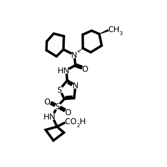 C[C@H]1CC[C@H](N(C(=O)Nc2ncc(S(=O)(=O)NC3(C(=O)O)CCC3)s2)C2CCCCC2)CC1